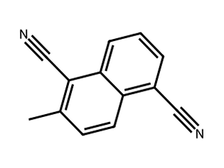 Cc1ccc2c(C#N)cccc2c1C#N